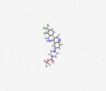 Cc1cc(NC(C)c2cccc(C(F)F)c2F)c2cc(N3CCN(C(=O)OC(C)(C)C)CC3)ccc2n1